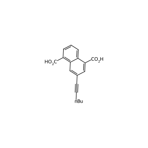 CCCCC#Cc1cc(C(=O)O)c2cccc(C(=O)O)c2c1